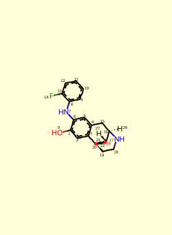 Oc1cc2c(cc1Nc1ccccc1F)C[C@H]1NCC[C@@]23CCCC[C@@H]13